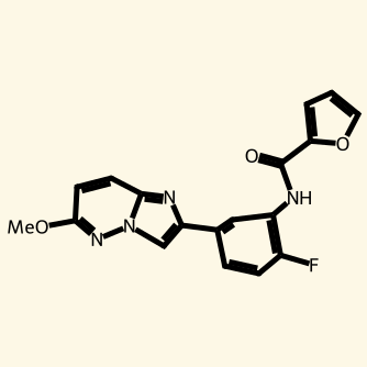 COc1ccc2nc(-c3ccc(F)c(NC(=O)c4ccco4)c3)cn2n1